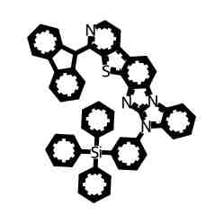 c1ccc([Si](c2ccccc2)(c2ccccc2)c2cccc(-n3c4ccccc4n4c5ccc6c7ccnc(C8c9ccccc9-c9ccccc98)c7sc6c5nc34)c2)cc1